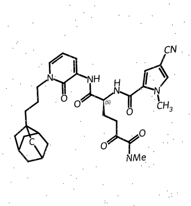 CNC(=O)C(=O)CC[C@H](NC(=O)c1cc(C#N)cn1C)C(=O)Nc1cccn(CCCC23CC4CC(CC2C4)C3)c1=O